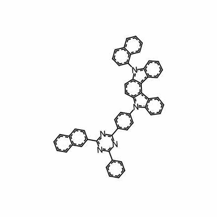 c1ccc(-c2nc(-c3ccc(-n4c5ccccc5c5c6c7ccccc7n(-c7cccc8ccccc78)c6ccc54)cc3)nc(-c3ccc4ccccc4c3)n2)cc1